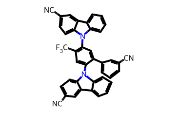 N#Cc1cccc(-c2cc(-n3c4ccccc4c4cc(C#N)ccc43)c(C(F)(F)F)cc2-n2c3ccccc3c3cc(C#N)ccc32)c1